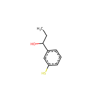 CCC(O)c1cccc(S)c1